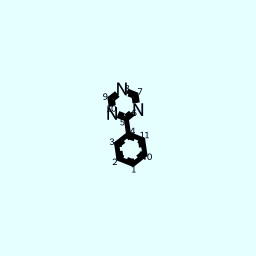 [c]1cccc(-c2ncncn2)c1